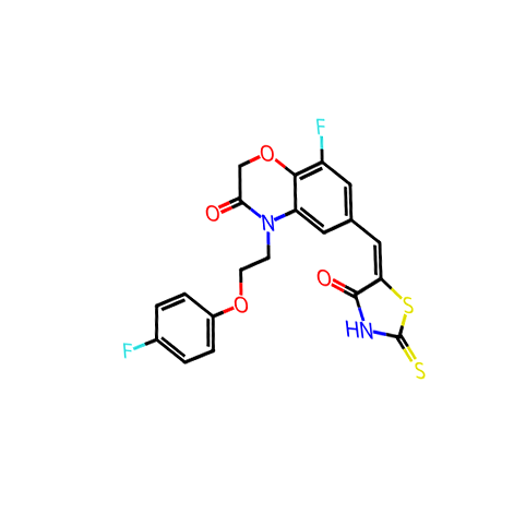 O=C1NC(=S)SC1=Cc1cc(F)c2c(c1)N(CCOc1ccc(F)cc1)C(=O)CO2